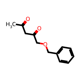 CC(=O)CC(=O)COCc1ccccc1